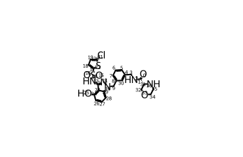 O=C(NCc1cccc(Cn2nc(NS(=O)(=O)c3ccc(Cl)s3)c3c(O)cccc32)c1)[C@H]1COCCN1